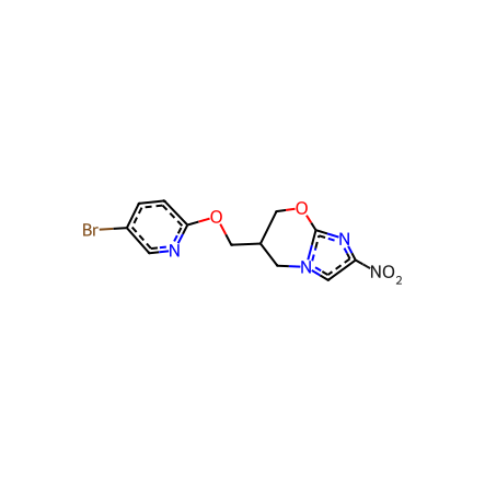 O=[N+]([O-])c1cn2c(n1)OCC(COc1ccc(Br)cn1)C2